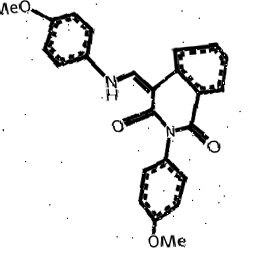 COc1ccc(N/C=C2\C(=O)N(c3ccc(OC)cc3)C(=O)c3ccccc32)cc1